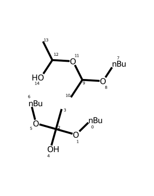 CCCCOC(C)(O)OCCCC.CCCCOC(C)OC(C)O